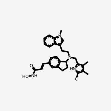 Cc1c(Cl)[nH]c(CN(CCc2cn(C)c3ccccc23)C2CCc3cc(C=CC(=O)NO)ccc32)c1C